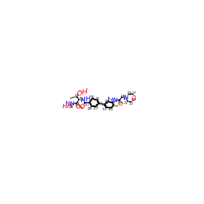 C[C@@H](O)[C@H](NC(=O)c1ccc(-c2cccc(NC(=O)CN3CCOCC3)c2)cc1)C(=O)NO